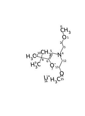 COCCN(C=C([O-])C(C)(C)C)CCOC.[Li+]